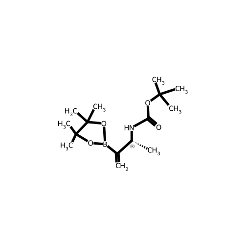 C=C(B1OC(C)(C)C(C)(C)O1)[C@@H](C)NC(=O)OC(C)(C)C